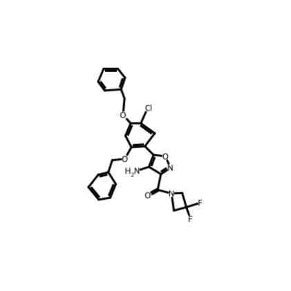 Nc1c(C(=O)N2CC(F)(F)C2)noc1-c1cc(Cl)c(OCc2ccccc2)cc1OCc1ccccc1